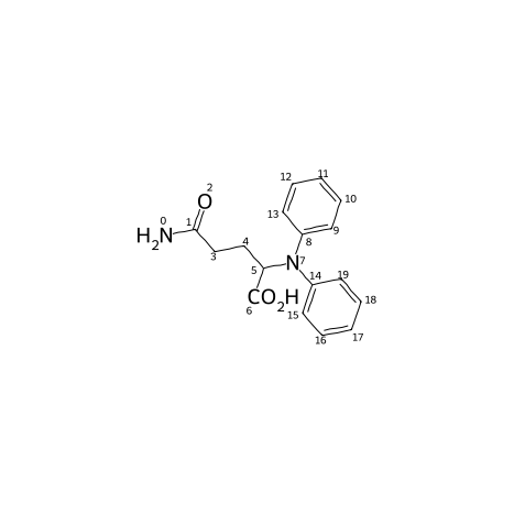 NC(=O)CCC(C(=O)O)N(c1ccccc1)c1ccccc1